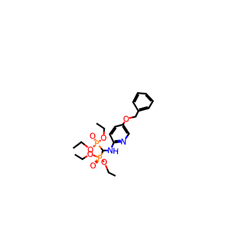 CCOP(=O)(OCC)C(Nc1ccc(OCc2ccccc2)cn1)P(=O)(OCC)OCC